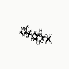 Cn1ncnc1C(C)(C)n1cc(NC(=O)OC(C)(C)C)c(Cl)n1